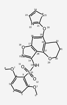 COc1cccc(OC)c1S(=O)(=O)Nc1noc2cc(Oc3nccs3)c3c(c12)OCCC3